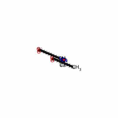 C1N2CN3CN1CN(C2)C3.CCCCCCCCCCCCCCCCCC(=O)[O-].CCCCCCCCCCCCCCCCCC(=O)[O-].[Ca+2]